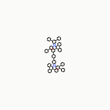 c1ccc(-c2ccc(N(c3cc(-c4ccccc4)cc(-c4ccccc4)c3)c3c(-c4cccc(-c5ccc(-c6ccc(N(c7ccc(-c8ccccc8)c(-c8ccccc8)c7)c7c(-c8ccccc8)c8ccccc8c8ccccc78)cc6)cc5)c4)c4ccccc4c4ccccc34)cc2)cc1